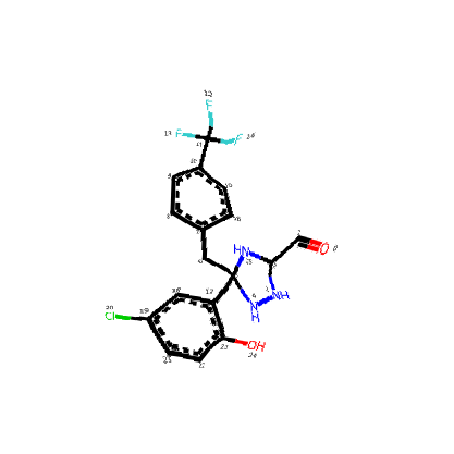 O=CC1NNC(Cc2ccc(C(F)(F)F)cc2)(c2cc(Cl)ccc2O)N1